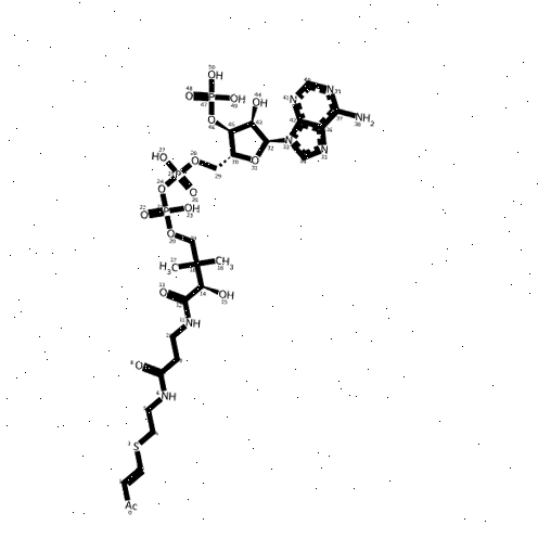 CC(=O)/C=C/SCCNC(=O)CCNC(=O)[C@H](O)C(C)(C)COP(=O)(O)OP(=O)(O)OC[C@H]1O[C@H](n2cnc3c(N)ncnc32)[C@H](O)[C@@H]1OP(=O)(O)O